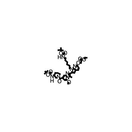 CCOC(=O)COc1ccc2cc(-c3nc4cc(C(=O)N5CCCC(NC(=O)OC(C)(C)C)C5)cc(OC)n4c3C)n(CCCCCCNC(=O)OC(C)(C)C)c2n1